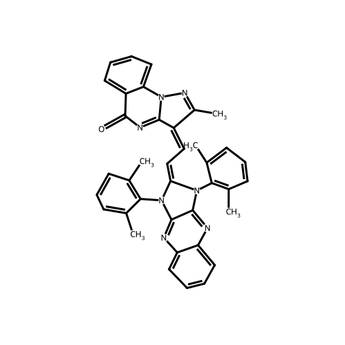 Cc1cccc(C)c1N1C(=C/C=c2/c(C)nn3c2nc(=O)c2ccccc23)N(c2c(C)cccc2C)c2nc3ccccc3nc21